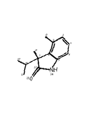 Cc1cccc2c1C(C)(C(C)C)C(=O)N2